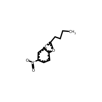 CCCCc1cc2cc([N+](=O)[O-])ccc2o1